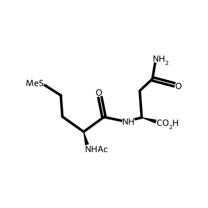 CSCC[C@H](NC(C)=O)C(=O)N[C@@H](CC(N)=O)C(=O)O